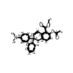 COC(=O)c1c(OC(C)=O)ccc2c1C=CC(c1ccccc1)(c1ccc(N(C)C)cc1)C2